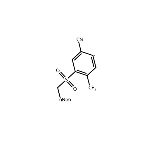 CCCCCCCCCCS(=O)(=O)c1cc(C#N)[c]cc1C(F)(F)F